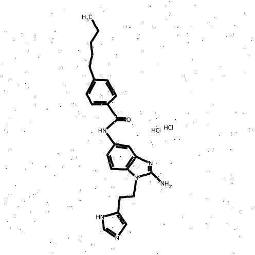 CCCCCc1ccc(C(=O)Nc2ccc3c(c2)nc(N)n3CCc2cnc[nH]2)cc1.Cl.Cl